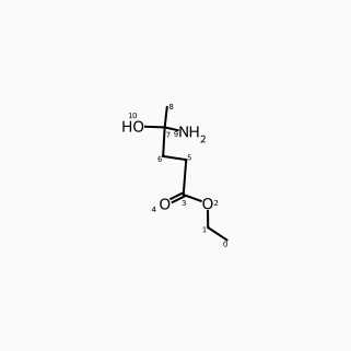 CCOC(=O)CCC(C)(N)O